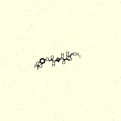 CCC1NC(C(=O)NC23CC(NC(=O)COc4ccc5c(c4)OC(F)(F)O5)(C2)C3)CS1